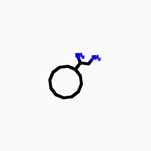 NCC(N)C1CCCCCCCCCCC1